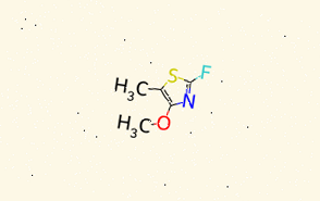 COc1nc(F)sc1C